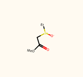 CC[S+]([O-])CC(=O)OC